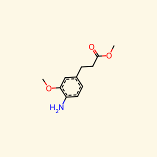 COC(=O)CCc1ccc(N)c(OC)c1